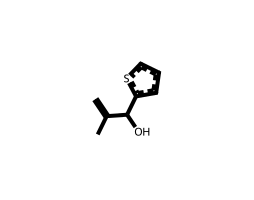 C=C(C)C(O)c1cccs1